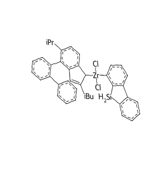 CCC(C)C1=Cc2c(ccc(C(C)C)c2-c2ccccc2-c2ccccc2)[CH]1[Zr]([Cl])([Cl])[c]1cccc2c1[SiH2]c1ccccc1-2